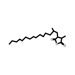 CCCCCCCCCCCCCC(C)CC1C(=O)OC(=O)C1C